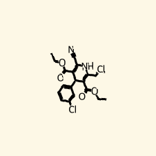 CCOC(=O)C1=C(C#N)NC(CCl)=C(C(=O)OCC)C1c1cccc(Cl)c1